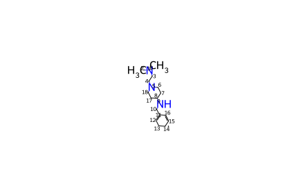 CN(C)CCN1CCC(NCC2=CC[CH]C=C2)CC1